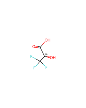 O=C(O)[C@@H](O)C(F)(F)F